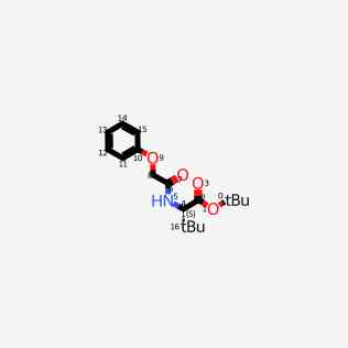 CC(C)(C)OC(=O)[C@@H](NC(=O)COc1ccccc1)C(C)(C)C